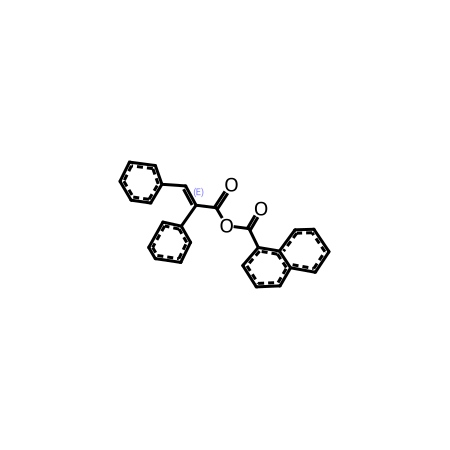 O=C(OC(=O)c1cccc2ccccc12)/C(=C/c1ccccc1)c1ccccc1